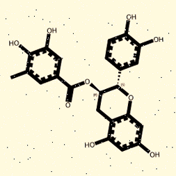 Cc1cc(C(=O)O[C@@H]2Cc3c(O)cc(O)cc3O[C@H]2c2ccc(O)c(O)c2)cc(O)c1O